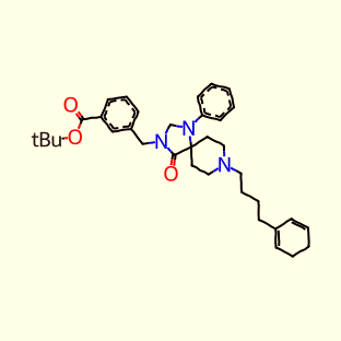 CC(C)(C)OC(=O)c1cccc(CN2CN(c3ccccc3)C3(CCN(CCCCC4=CCCC=C4)CC3)C2=O)c1